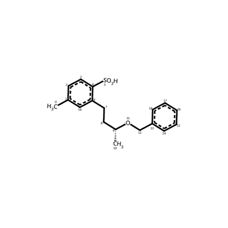 Cc1ccc(S(=O)(=O)O)c(CC[C@@H](C)OCc2ccccc2)c1